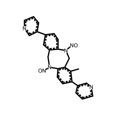 Cc1c(-c2cccnc2)ccc2c1CN(N=O)c1ccc(-c3cccnc3)cc1CN2N=O